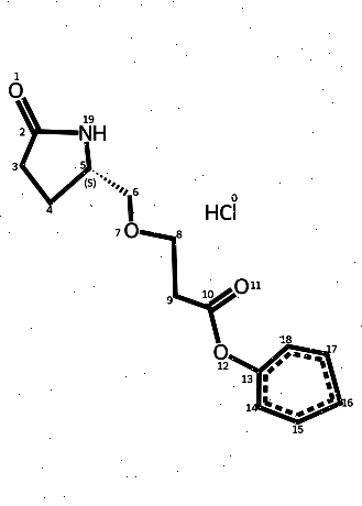 Cl.O=C1CC[C@@H](COCCC(=O)Oc2ccccc2)N1